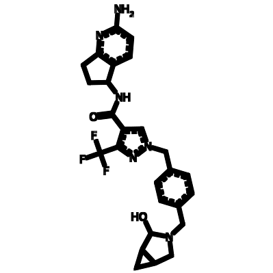 Nc1ccc2c(n1)CCC2NC(=O)c1cn(Cc2ccc(CN3CC4CC4C3O)cc2)nc1C(F)(F)F